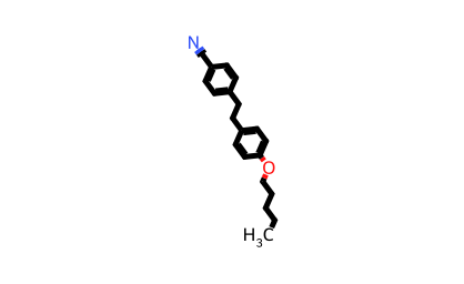 CCCCCOc1ccc(CCc2ccc(C#N)cc2)cc1